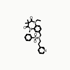 CCN1C(=O)C(C)(C)C(=O)N(C)c2cc(CN(CCc3cccnc3)S(=O)(=O)c3ccccc3)ccc21